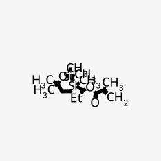 C=C(C)C(=O)OC(CC)[Si]1(C)CCC(C)(C)O[Si]1(C)C